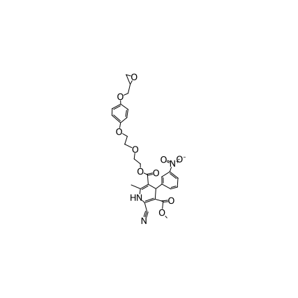 COC(=O)C1=C(C#N)NC(C)=C(C(=O)OCCOCCOc2ccc(OCC3CO3)cc2)C1c1cccc([N+](=O)[O-])c1